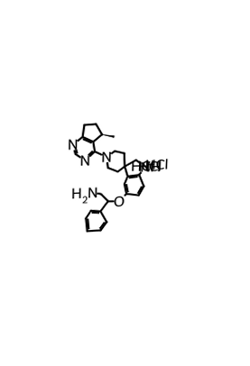 C[C@@H]1CCc2ncnc(N3CCC4(CC3)CNc3ccc(OC(CN)c5ccccc5)cc34)c21.Cl.Cl.Cl